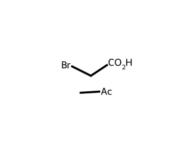 CC(C)=O.O=C(O)CBr